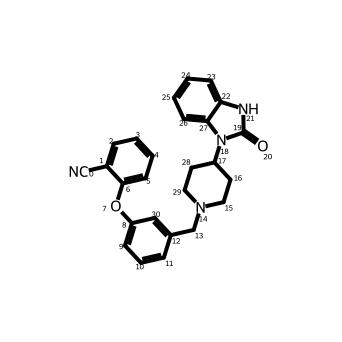 N#Cc1ccccc1Oc1cccc(CN2CCC(n3c(=O)[nH]c4ccccc43)CC2)c1